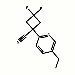 CCc1ccc(C2(C#N)CC(F)(F)C2)nc1